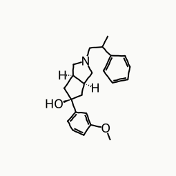 COc1cccc([C@]2(O)C[C@H]3CN(CC(C)c4ccccc4)C[C@H]3C2)c1